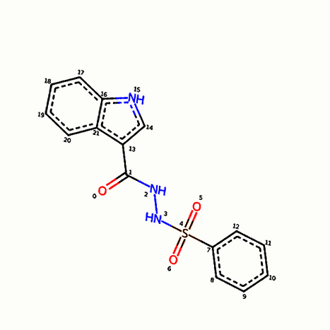 O=C(NNS(=O)(=O)c1ccccc1)c1c[nH]c2ccccc12